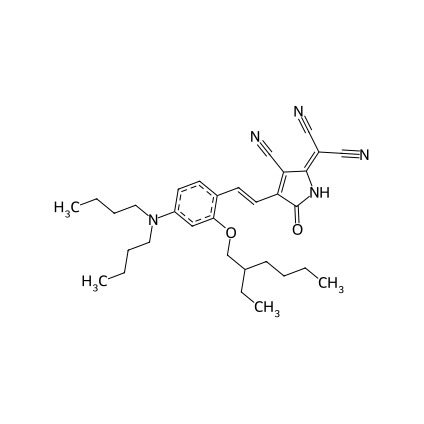 CCCCC(CC)COc1cc(N(CCCC)CCCC)ccc1/C=C/C1=C(C#N)C(=C(C#N)C#N)NC1=O